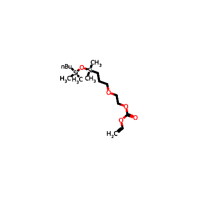 C=COC(=O)OCCOCCC[Si](C)(C)O[Si](C)(C)CCCC